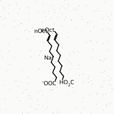 CCCCCCCCC=CCCCCCCCC(=O)O.CCCCCCCCC=CCCCCCCCC(=O)[O-].[Na+]